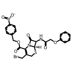 O=C(COc1ccccc1)NC1C(=O)N2C(C(=O)OCc3ccc([N+](=O)[O-])cc3)=C(CBr)CS[C@@H]12